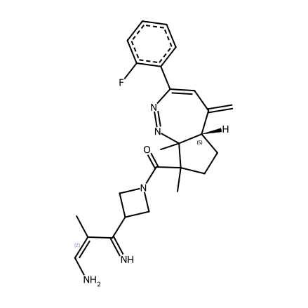 C=C1C=C(c2ccccc2F)N=NC2(C)[C@H]1CCC2(C)C(=O)N1CC(C(=N)/C(C)=C\N)C1